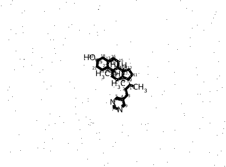 CC(CCc1cncnc1)[C@H]1CC[C@H]2[C@@H]3CC=C4C[C@@H](O)CC[C@]4(C)[C@H]3CC[C@]12C